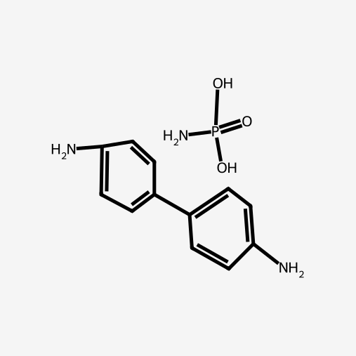 NP(=O)(O)O.Nc1ccc(-c2ccc(N)cc2)cc1